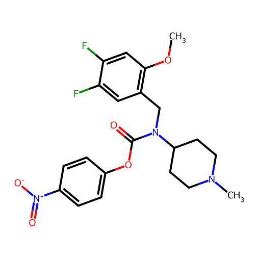 COc1cc(F)c(F)cc1CN(C(=O)Oc1ccc([N+](=O)[O-])cc1)C1CCN(C)CC1